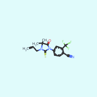 C=CCN1C(=S)N(c2ccc(C#N)c(C(F)(F)F)c2)C(=O)C1(C)C